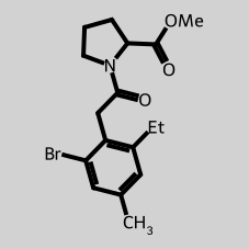 CCc1cc(C)cc(Br)c1CC(=O)N1CCCC1C(=O)OC